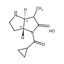 CC1C(=O)N(C(=O)C2CC2)[C@@H]2CCN[C@@H]12.Cl